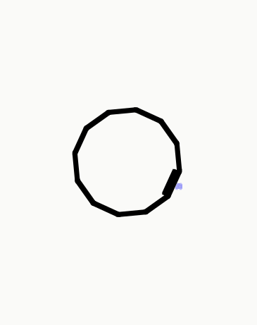 C1=C\CCCCCCCCCC/1